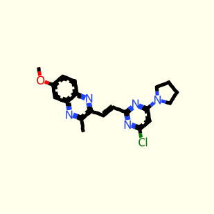 COc1ccc2nc(/C=C/c3nc(Cl)cc(N4CCCC4)n3)c(C)nc2c1